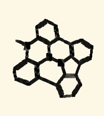 CN1c2cccc3c2B2c4c(cccc41)-c1cccc4c5cccc-3c5n2c14